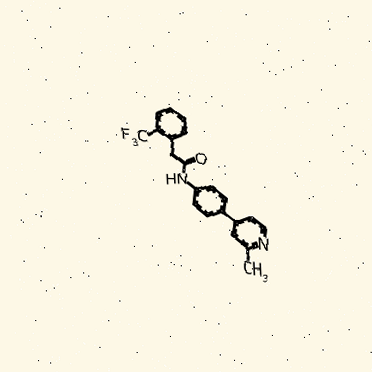 Cc1cc(-c2ccc(NC(=O)Cc3ccccc3C(F)(F)F)cc2)ccn1